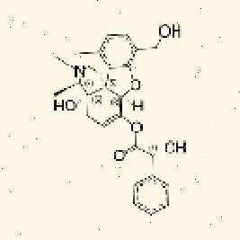 Cc1ccc(CO)c2c1[C@]13CCN(C)[C@H](C)[C@]1(O)CC=C(OC(=O)[C@H](O)c1ccccc1)[C@@H]3O2